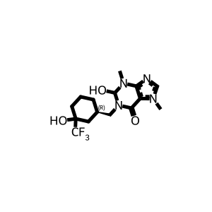 CN1c2ncn(C)c2C(=O)N(C[C@@H]2CCCC(O)(C(F)(F)F)C2)C1O